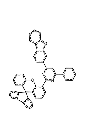 c1ccc(-c2cc(-c3ccc4c(c3)oc3ccccc34)nc(-c3cccc4c3Oc3ccccc3C43c4ccccc4-c4ccccc43)n2)cc1